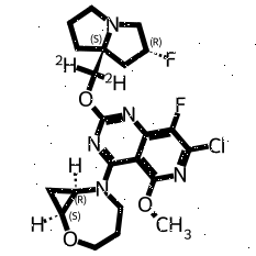 [2H]C([2H])(Oc1nc(N2CCCO[C@H]3C[C@H]32)c2c(OC)nc(Cl)c(F)c2n1)[C@@]12CCCN1C[C@H](F)C2